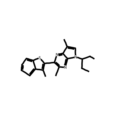 CCC(CC)n1cc(C)c2nc(-c3sc4ccccc4c3C)c(C)nc21